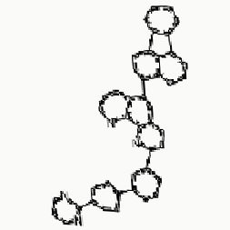 c1cnc(-c2ccc(-c3cccc(-c4ccc5cc(-c6ccc7c8c(cccc68)-c6ccccc6-7)c6cccnc6c5n4)c3)cc2)nc1